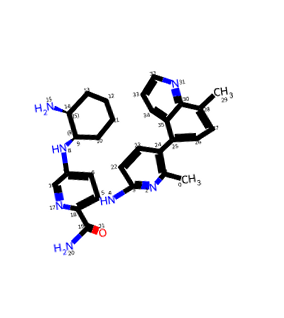 Cc1nc(Nc2cc(N[C@@H]3CCCC[C@@H]3N)cnc2C(N)=O)ccc1-c1ccc(C)c2ncccc12